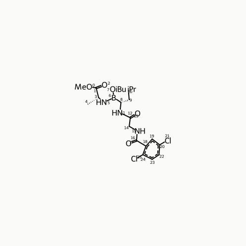 COC(=O)[C@@H](C)NB(OCC(C)C)[C@H](CC(C)C)NC(=O)CNC(=O)c1cc(Cl)ccc1Cl